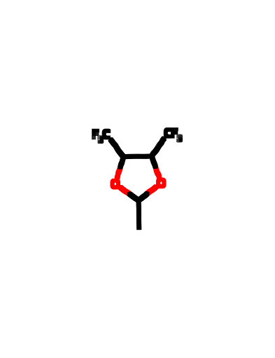 CC1OC(C(F)(F)F)C(C(F)(F)F)O1